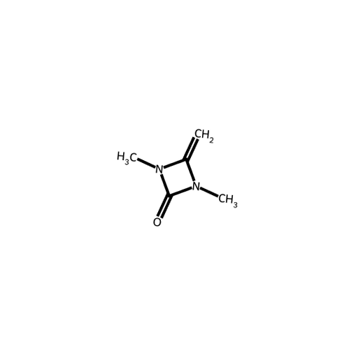 C=C1N(C)C(=O)N1C